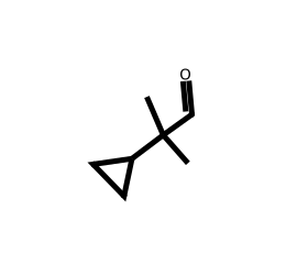 CC(C)(C=O)C1CC1